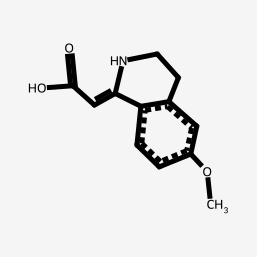 COc1ccc2c(c1)CCNC2=CC(=O)O